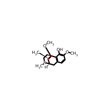 COc1ccc2c(c1O)[C@]13CCN(C)[C@H](C2)C1C[C@@H](C)C(OC)C3